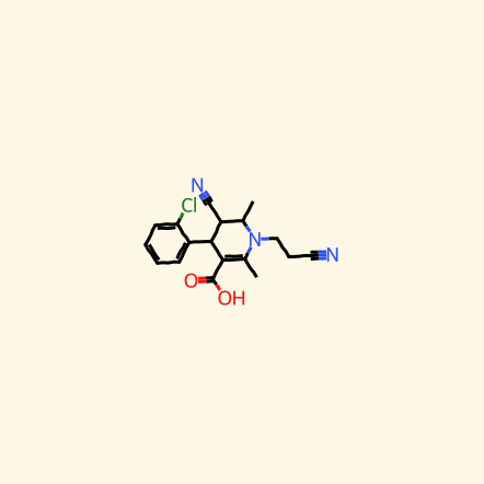 CC1=C(C(=O)O)C(c2ccccc2Cl)C(C#N)C(C)N1CCC#N